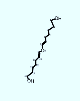 OCCCCCC=COC=CCCCCCO